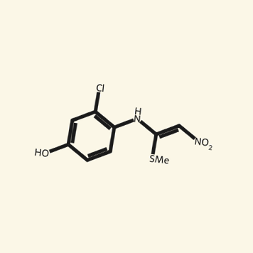 CS/C(=C\[N+](=O)[O-])Nc1ccc(O)cc1Cl